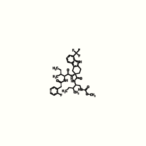 CCC(C)C(CNC(=O)OC)NC(=O)[C@@]1(NC(=O)C(NC(=O)Cc2ccccc2F)C(C)CC)CCc2[nH]c3c(C(F)(F)F)cccc3c2C1